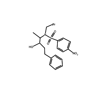 CC(C)CN(C(C)C(O)CCc1ccccc1)S(=O)(=O)c1ccc([N+](=O)[O-])cc1